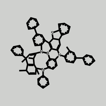 Cc1cc(-c2ccccc2)ccc1N1C2=CC3c4ccccc4SC3C3=C2B2c4cc(ccc41)N(c1ccccc1)C1(C)C=CC(C)C4=C1C(C)C(=CC4(C)c1ccccc1)N2c1ccc(-c2ccccc2)cc13